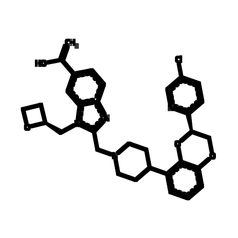 C=C(O)c1ccc2nc(CN3CCC(c4cccc5c4O[C@@H](c4ccc(Cl)cn4)CO5)CC3)n(C[C@@H]3CCO3)c2c1